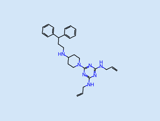 C=CCNc1nc(NCC=C)nc(N2CCC(NCCC(c3ccccc3)c3ccccc3)CC2)n1